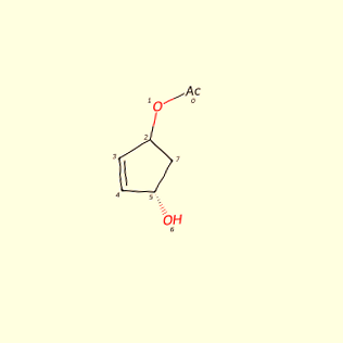 CC(=O)OC1C=C[C@@H](O)C1